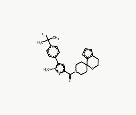 Cn1nc(C(=O)N2CCC3(CC2)OCCc2ccsc23)nc1-c1ccc(C(C)(C)C)cc1